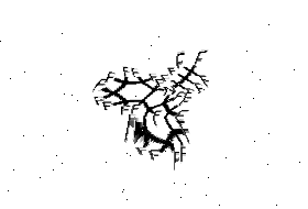 FC(F)(F)C(F)(F)C(F)(F)N1C2(F)C(F)(F)C(F)(F)C(F)(F)C(F)(F)C2(F)C2(F)C(F)(F)C(F)(F)C(F)(F)C(F)(F)C12F